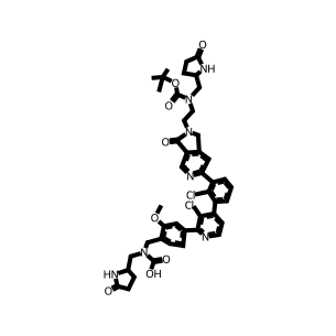 COc1cc(-c2nccc(-c3cccc(-c4cc5c(cn4)C(=O)N(CCN(CC4CCC(=O)N4)C(=O)OC(C)(C)C)C5)c3Cl)c2Cl)ccc1CN(CC1CCC(=O)N1)C(=O)O